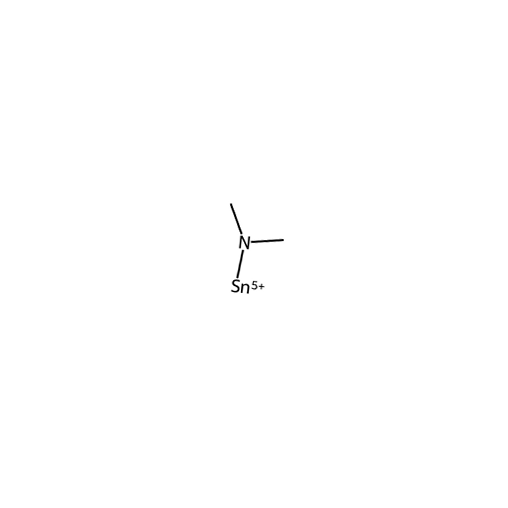 C[N](C)[Sn+5]